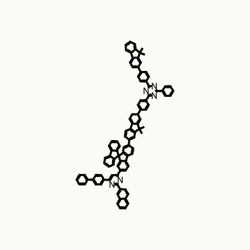 CC1(C)C2=CC(c3ccc(-c4nc(-c5ccccc5)nc(-c5ccc(-c6ccc7c(c6)C(C)(C)c6ccccc6-7)cc5)n4)cc3)CC=C2c2ccc(-c3ccc4c(c3)C3(c5ccccc5-c5ccccc53)c3cc(-c5cc(-c6ccc(-c7ccccc7)cc6)nc(-c6ccc7ccccc7c6)n5)ccc3-4)cc21